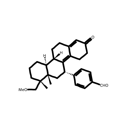 COC[C@]1(C)CCC[C@H]2[C@@H]3CCC4=CC(=O)CCC4=C3[C@H](c3ccc(C=O)cc3)C[C@@]21C